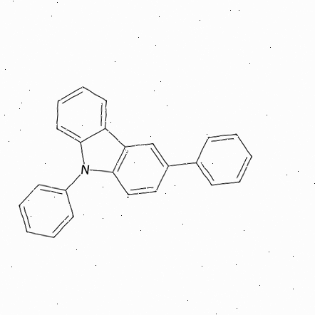 [c]1cc(-c2ccccc2)cc2c3ccccc3n(-c3ccccc3)c12